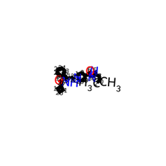 CC(C)Cc1noc(C2CCN(CC[C@H](NC(=O)C3CCC3)c3ccccc3)CC2)n1